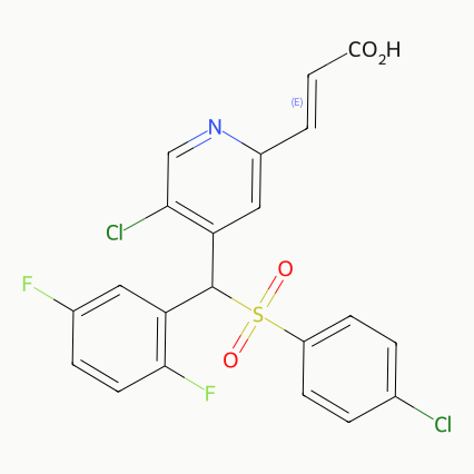 O=C(O)/C=C/c1cc(C(c2cc(F)ccc2F)S(=O)(=O)c2ccc(Cl)cc2)c(Cl)cn1